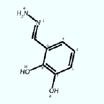 NN=Cc1cccc(O)c1O